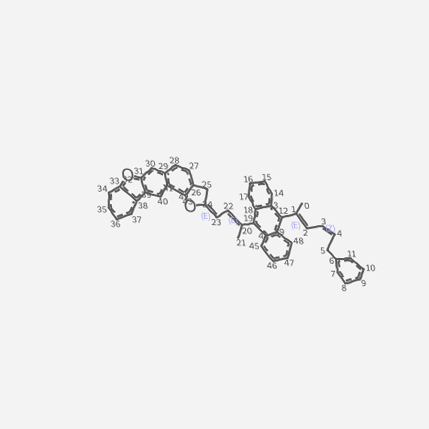 C/C(=C\C=C/Cc1ccccc1)c1c2ccccc2c(/C(C)=C/C=C2\Cc3ccc4cc5oc6ccccc6c5cc4c3O2)c2ccccc12